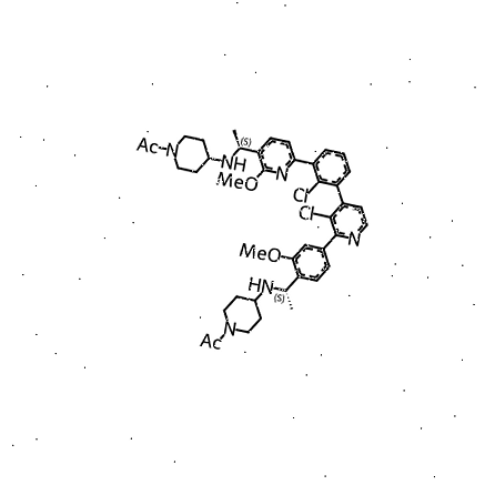 COc1cc(-c2nccc(-c3cccc(-c4ccc([C@H](C)NC5CCN(C(C)=O)CC5)c(OC)n4)c3Cl)c2Cl)ccc1[C@H](C)NC1CCN(C(C)=O)CC1